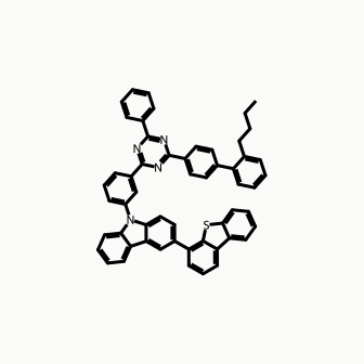 CCCCc1ccccc1-c1ccc(-c2nc(-c3ccccc3)nc(-c3cccc(-n4c5ccccc5c5cc(-c6cccc7c6sc6ccccc67)ccc54)c3)n2)cc1